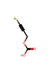 O=C(O)OCC#CBr